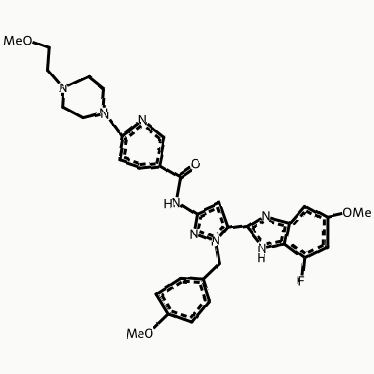 COCCN1CCN(c2ccc(C(=O)Nc3cc(-c4nc5cc(OC)cc(F)c5[nH]4)n(Cc4ccc(OC)cc4)n3)cn2)CC1